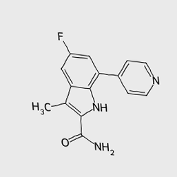 Cc1c(C(N)=O)[nH]c2c(-c3ccncc3)cc(F)cc12